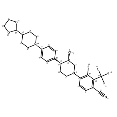 C[C@H]1CN(c2ccc(C#N)c(C(F)(F)F)c2F)CC[C@H]1c1ccc(N2CCC(C3OCCO3)CC2)cc1